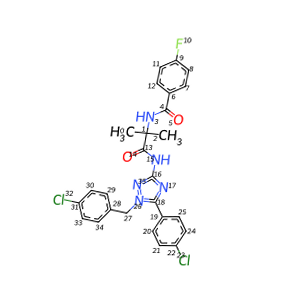 CC(C)(NC(=O)c1ccc(F)cc1)C(=O)Nc1nc(-c2ccc(Cl)cc2)n(Cc2ccc(Cl)cc2)n1